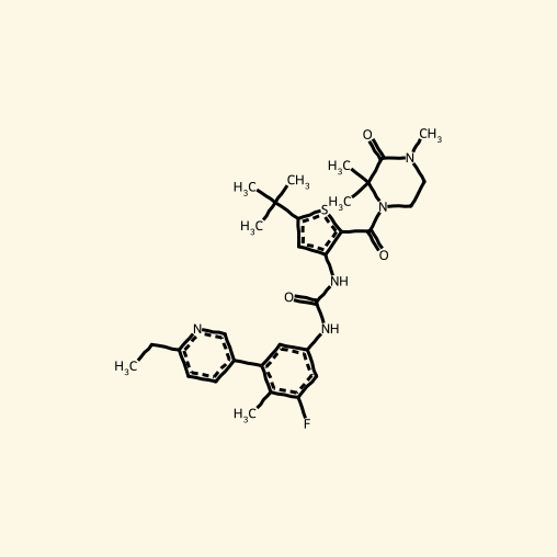 CCc1ccc(-c2cc(NC(=O)Nc3cc(C(C)(C)C)sc3C(=O)N3CCN(C)C(=O)C3(C)C)cc(F)c2C)cn1